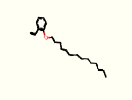 C=Cc1ccccc1OCCCCCCCCCCCCCC